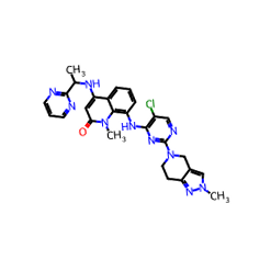 CC(Nc1cc(=O)n(C)c2c(Nc3nc(N4CCc5nn(C)cc5C4)ncc3Cl)cccc12)c1ncccn1